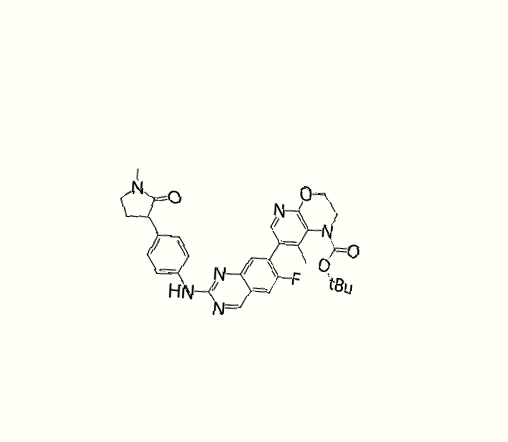 Cc1c(-c2cc3nc(Nc4ccc(C5CCN(C)C5=O)cc4)ncc3cc2F)cnc2c1N(C(=O)OC(C)(C)C)CCO2